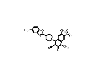 Cc1ccc2oc(C3CCN(c4c(C#N)c(=O)n(C)c5cc([N+](=O)[O-])c(C)cc45)CC3)nc2c1